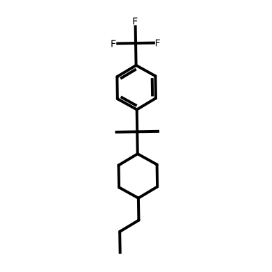 CCCC1CCC(C(C)(C)c2ccc(C(F)(F)F)cc2)CC1